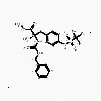 COC(=O)[C@](C)(Cc1ccc(OS(=O)(=O)C(F)(F)F)cc1)NC(=O)OCc1ccccc1